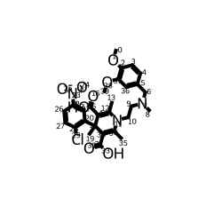 COc1ccc(CN(C)CCN2C(C)=C(C(=O)O)C(C)(c3cc([N+](=O)[O-])ccc3Cl)C(C(=O)O)=C2C)cc1OC